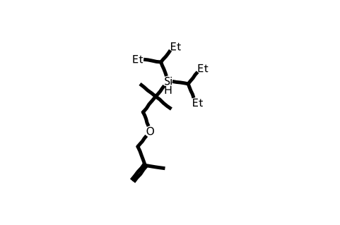 C=C(C)COCC(C)(C)[SiH](C(CC)CC)C(CC)CC